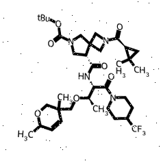 CC1C=CC(C)(CO[C@H](C)[C@H](NC(=O)[C@@H]2CN(C(=O)OC(C)(C)C)CC23CN(C(=O)[C@H]2CC2(C)C)C3)C(=O)N2CCC(C(F)(F)F)CC2)CO1